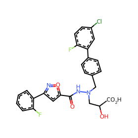 O=C(NN(Cc1ccc(-c2cc(Cl)ccc2F)cc1)CC(O)C(=O)O)c1cc(-c2ccccc2F)no1